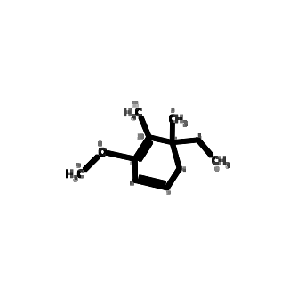 CCC1(C)CC=CC(OC)=C1C